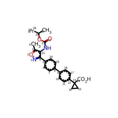 Cc1onc(-c2ccc(-c3ccc(C4(C(=O)O)CC4)cc3)cc2)c1NC(=O)OC(C)C(C)C